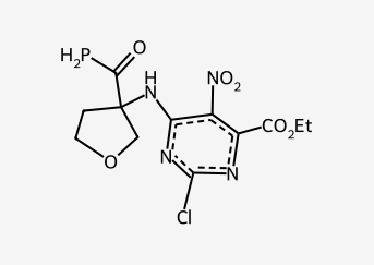 CCOC(=O)c1nc(Cl)nc(NC2(C(=O)P)CCOC2)c1[N+](=O)[O-]